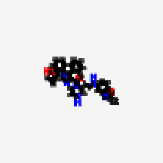 CCc1nc2cc(NCC[C@@H]3CNCCN3C(=O)c3ncn([C@@H]4CCCC[C@@]4(O)CC4CC4)c3-c3ccccc3)ccc2o1